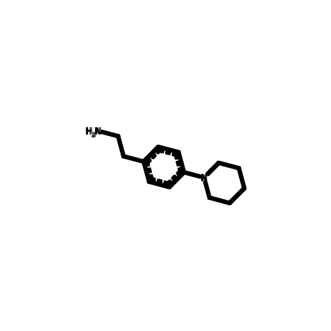 NCCc1ccc(N2CCCCC2)cc1